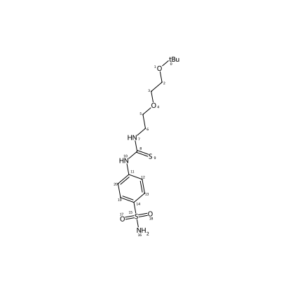 CC(C)(C)OCCOCCNC(=S)Nc1ccc(S(N)(=O)=O)cc1